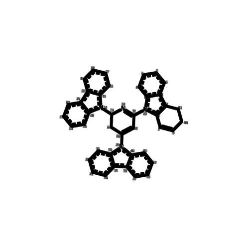 C1=Cc2c(c3ccccc3n2C2=NC(n3c4ccccc4c4ccccc43)CC(n3c4ccccc4c4ccccc43)=C2)CC1